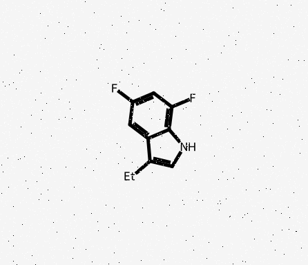 CCc1c[nH]c2c(F)cc(F)cc12